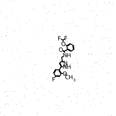 COc1cc(F)ccc1-c1cc(CNC(=O)c2ccccc2OC(F)F)n[nH]1